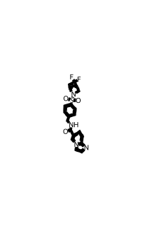 O=C(NCc1ccc(S(=O)(=O)N2CC3CC2CC3(F)F)cc1)c1ccc2nccn2c1